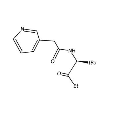 CCC(=O)[C@@H](NC(=O)Cc1cccnc1)C(C)(C)C